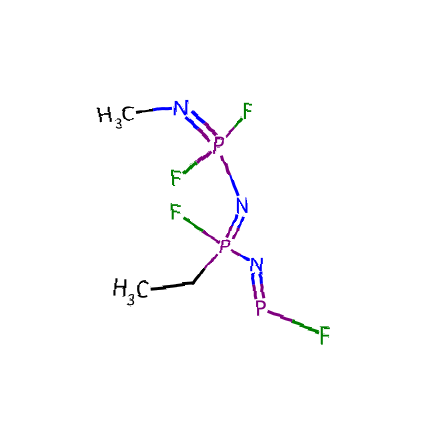 CCP(F)(=NP(F)(F)=NC)/N=P/F